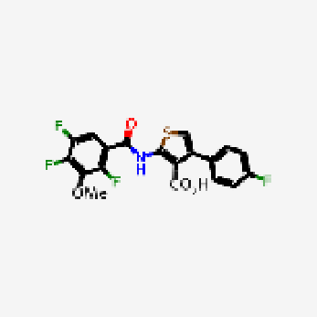 COc1c(F)c(F)cc(C(=O)Nc2scc(-c3ccc(F)cc3)c2C(=O)O)c1F